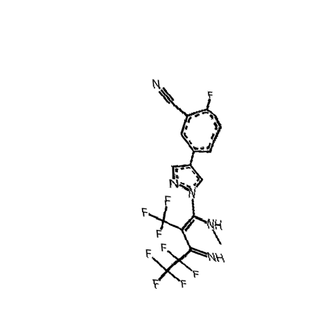 CN/C(=C(\C(=N)C(F)(F)C(F)(F)F)C(F)(F)F)n1cc(-c2ccc(F)c(C#N)c2)cn1